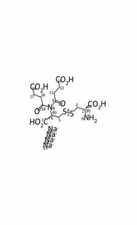 N[C@@H](CSSC[C@@H](C(=O)O)N(C(=O)CCC(=O)O)C(=O)CCC(=O)O)C(=O)O.[Na].[Na].[Na].[Na]